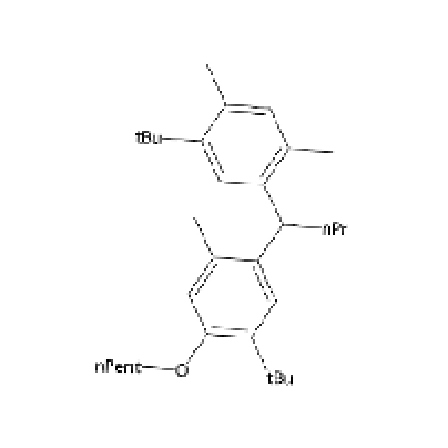 CCCCCOc1cc(C)c(C(CCC)c2cc(C(C)(C)C)c(C)cc2C)cc1C(C)(C)C